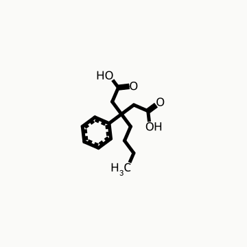 CCCCC(CC(=O)O)(CC(=O)O)c1ccccc1